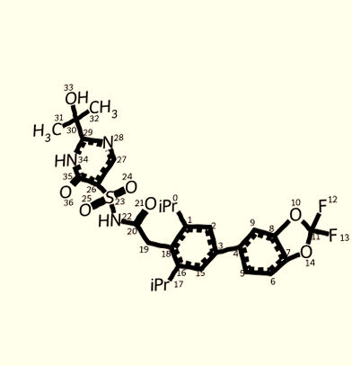 CC(C)c1cc(-c2ccc3c(c2)OC(F)(F)O3)cc(C(C)C)c1CC(=O)NS(=O)(=O)c1cnc(C(C)(C)O)[nH]c1=O